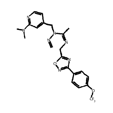 C=NN(Cc1ccnc(N(C)C)c1)/C(C)=N\Cc1nc(-c2ccc(OC(F)(F)F)cc2)no1